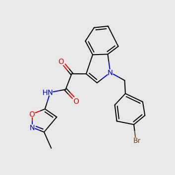 Cc1cc(NC(=O)C(=O)c2cn(Cc3ccc(Br)cc3)c3ccccc23)on1